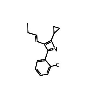 CC/C=C/C1=C(C2CC2)N=C1c1ccccc1Cl